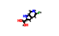 OB(O)c1cc2cc(F)ncc2[nH]1